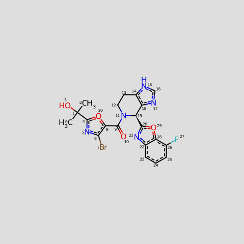 CC(C)(O)c1nc(Br)c(C(=O)N2CCc3[nH]cnc3[C@H]2c2nc3cccc(F)c3o2)o1